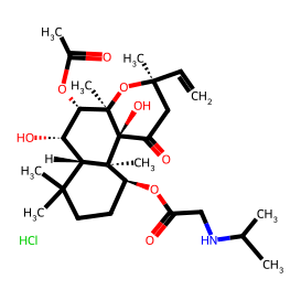 C=C[C@@]1(C)CC(=O)[C@]2(O)[C@@]3(C)[C@@H](OC(=O)CNC(C)C)CCC(C)(C)[C@@H]3[C@H](O)[C@H](OC(C)=O)[C@@]2(C)O1.Cl